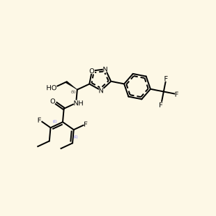 C/C=C(F)\C(C(=O)N[C@@H](CO)c1nc(-c2ccc(C(F)(F)F)cc2)no1)=C(\F)CC